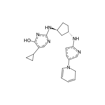 Oc1nc(N[C@H]2CC[C@H](Nc3ccc(N4C=CC=CC4)cn3)C2)ncc1C1CC1